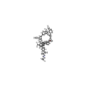 CCn1c(-c2cccnc2COC)c2c3cc(ccc31)-c1cc(O)cc(c1)C[C@H](NC(=O)[C@H](C(C)C)N(C)C(=O)c1ccc(NC(=O)/C=C/CN(C)C)cn1)C(=O)N1CCC[C@H](N1)C(=O)OCC(C)(C)C2